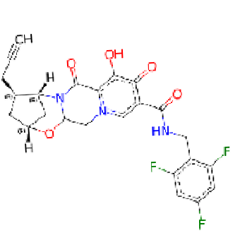 C#CC[C@@H]1C[C@@H]2C[C@H]1N1C(=O)c3c(O)c(=O)c(C(=O)NCc4c(F)cc(F)cc4F)cn3CC1O2